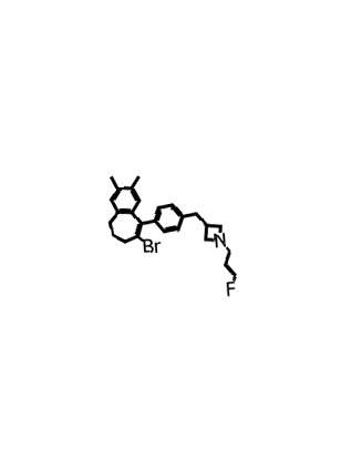 Cc1cc2c(cc1C)C(c1ccc(CC3CN(CCCF)C3)cc1)=C(Br)CCC2